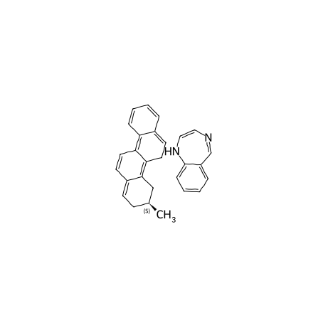 C1=CNc2ccccc2C=N1.C[C@H]1CC=c2ccc3c(c2C1)CC=c1ccccc1=3